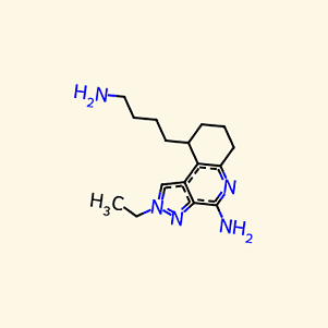 CCn1cc2c3c(nc(N)c2n1)CCCC3CCCCN